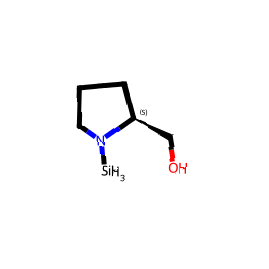 OC[C@@H]1CCCN1[SiH3]